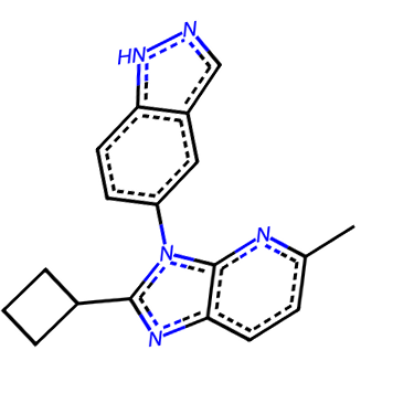 Cc1ccc2nc(C3CCC3)n(-c3ccc4[nH]ncc4c3)c2n1